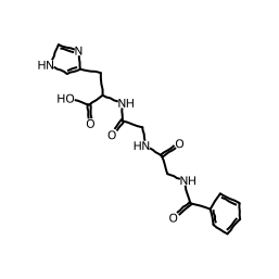 O=C(CNC(=O)c1ccccc1)NCC(=O)NC(Cc1c[nH]cn1)C(=O)O